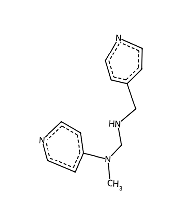 CN(CNCc1ccncc1)c1ccncc1